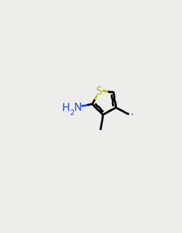 [CH2]c1csc(N)c1C